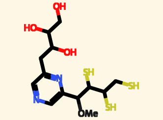 COC(c1cncc(CC(O)C(O)CO)n1)C(S)C(S)CS